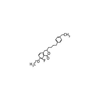 CCOc1ccc2c(c1F)C(=O)OC(CCCCc1ccc(CC)cc1)C2